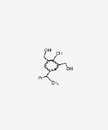 CC(C)C(C)c1cc(CO)c(O)c(CO)c1